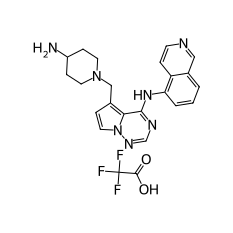 NC1CCN(Cc2ccn3ncnc(Nc4cccc5cnccc45)c23)CC1.O=C(O)C(F)(F)F